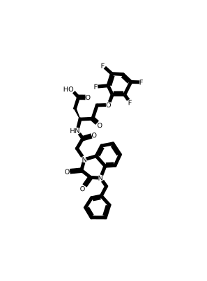 O=C(O)C[C@H](NC(=O)Cn1c(=O)c(=O)n(Cc2ccccc2)c2ccccc21)C(=O)COc1c(F)c(F)cc(F)c1F